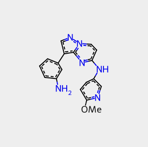 COc1ccc(Nc2ccn3ncc(-c4cccc(N)c4)c3n2)cn1